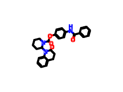 O=C(Nc1ccc(OC(=O)N2CCCCC2N2C(=O)CCc3ccccc32)cc1)c1ccccc1